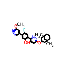 COc1cc(-c2cc(O)c(-c3ccc(O[C@H]4C[C@]5(C)CCC[C@](C)(C4)C5)nn3)cc2F)cnn1